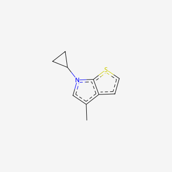 Cc1cn(C2CC2)c2sccc12